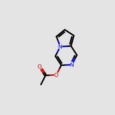 CC(=O)Oc1cn2cccc2cn1